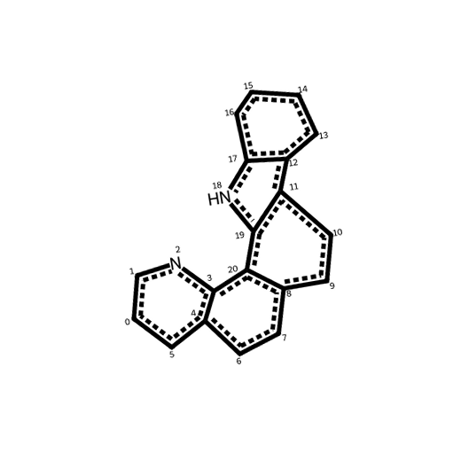 c1cnc2c(c1)ccc1ccc3c4ccccc4[nH]c3c12